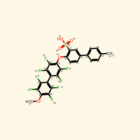 COc1c(F)c(F)c(-c2c(F)c(F)c(Oc3ccc(-c4ccc(C)cc4)cc3S(=O)(=O)O)c(F)c2F)c(F)c1F